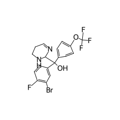 OC(c1ccc(OC(F)(F)F)cc1)(c1ccc(F)c(Br)c1)C1N=CCCN1